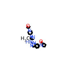 Cc1c(Nc2ncc3ccc(N4C(=O)C5CCC4C5)cc3n2)cnn1C1CCN(C2COC2)CC1